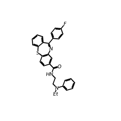 CCN(CCNC(=O)c1ccc2c(c1)N=C(c1ccc(F)cc1)c1ccccc1S2)c1ccccc1